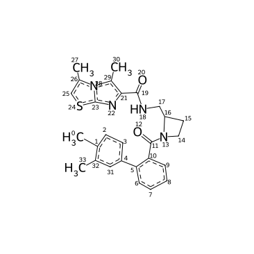 Cc1ccc(-c2ccccc2C(=O)N2CCC2CNC(=O)c2nc3scc(C)n3c2C)cc1C